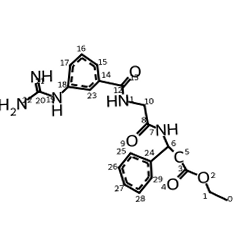 CCOC(=O)CC(NC(=O)CNC(=O)c1cccc(NC(=N)N)c1)c1ccccc1